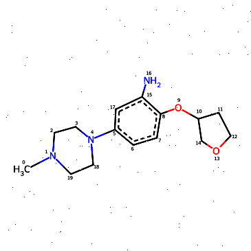 CN1CCN(c2ccc(OC3CCOC3)c(N)c2)CC1